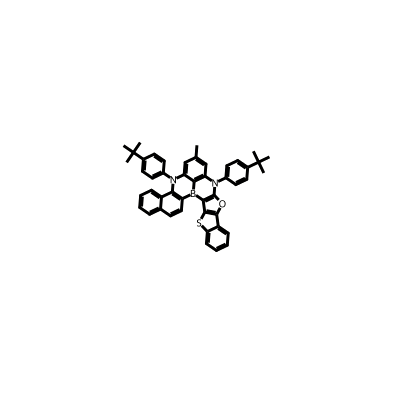 Cc1cc2c3c(c1)N(c1ccc(C(C)(C)C)cc1)c1c(ccc4ccccc14)B3c1c(oc3c1sc1ccccc13)N2c1ccc(C(C)(C)C)cc1